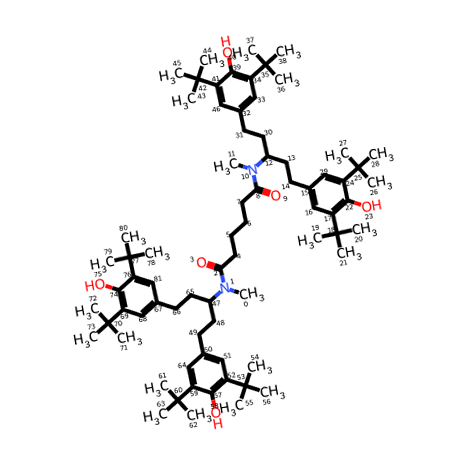 CN(C(=O)CCCCC(=O)N(C)C(CCc1cc(C(C)(C)C)c(O)c(C(C)(C)C)c1)CCc1cc(C(C)(C)C)c(O)c(C(C)(C)C)c1)C(CCc1cc(C(C)(C)C)c(O)c(C(C)(C)C)c1)CCc1cc(C(C)(C)C)c(O)c(C(C)(C)C)c1